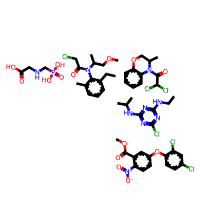 CC1COc2ccccc2N1C(=O)C(Cl)Cl.CCNc1nc(Cl)nc(NC(C)C)n1.CCc1cccc(C)c1N(C(=O)CCl)C(C)COC.COC(=O)c1cc(Oc2ccc(Cl)cc2Cl)ccc1[N+](=O)[O-].O=C(O)CNCP(=O)(O)O